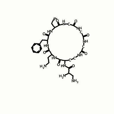 CC(C)CC1NC(=O)C(Cc2ccccc2)NC(=O)C(CCN)NC(=O)C(NC(=O)C(N)CN)CCNC(=O)CNC(=O)CNC(=O)CNC1=O